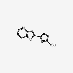 CC(C)(C)c1ccc(-c2cc3ncccc3o2)s1